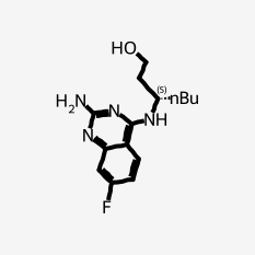 CCCC[C@@H](CCO)Nc1nc(N)nc2cc(F)ccc12